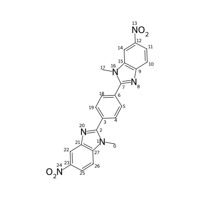 Cn1c(-c2ccc(-c3nc4ccc([N+](=O)[O-])cc4n3C)cc2)nc2cc([N+](=O)[O-])ccc21